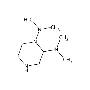 CN(C)C1CNCCN1N(C)C